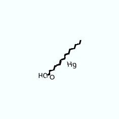 CCCCCCCCCCCCCC(=O)O.[Hg]